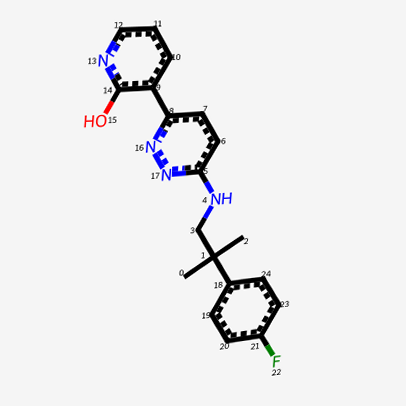 CC(C)(CNc1ccc(-c2cccnc2O)nn1)c1ccc(F)cc1